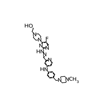 CN1CCN(Cc2ccc(Nc3ccnc(/C=N/Nc4ncc(F)c(N5CCN(CCO)CC5)n4)c3)cc2)CC1